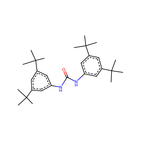 CC(C)(C)c1cc(NC(=O)Nc2cc(C(C)(C)C)cc(C(C)(C)C)c2)cc(C(C)(C)C)c1